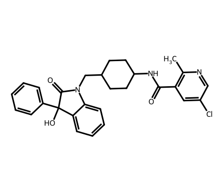 Cc1ncc(Cl)cc1C(=O)NC1CCC(CN2C(=O)C(O)(c3ccccc3)c3ccccc32)CC1